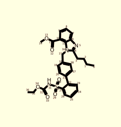 CCCCc1nc2cccc(C(=O)OC)c2n1Cc1ccc(-c2ccccc2S(=O)(=O)NC(=O)OCC)cc1